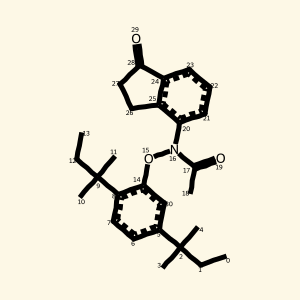 CCC(C)(C)c1ccc(C(C)(C)CC)c(ON(C(C)=O)c2cccc3c2CCC3=O)c1